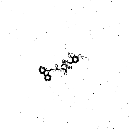 COc1ccc(CNS(=O)(=O)C[C@@H](NC(=O)OCC2c3ccccc3-c3ccccc32)C(=O)O)c(OC)c1